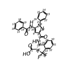 O=C(O)C[C@H](NC(=O)c1cc(NC(=O)c2ccccc2)n(-c2ccccc2)n1)c1ccccc1C(F)(F)F